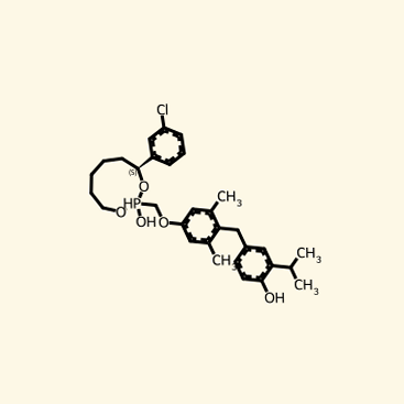 Cc1cc(OC[PH]2(O)OCCCCC[C@@H](c3cccc(Cl)c3)O2)cc(C)c1Cc1ccc(O)c(C(C)C)c1